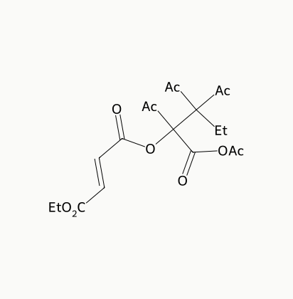 CCOC(=O)C=CC(=O)OC(C(C)=O)(C(=O)OC(C)=O)C(CC)(C(C)=O)C(C)=O